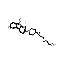 Cn1c2ccncc2c2ccc(N3CCC(OCCOCCO)CC3)nc21